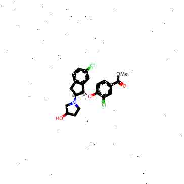 COC(=O)c1ccc(O[C@H]2c3cc(Cl)ccc3C[C@@H]2N2CCC(O)C2)c(Cl)c1